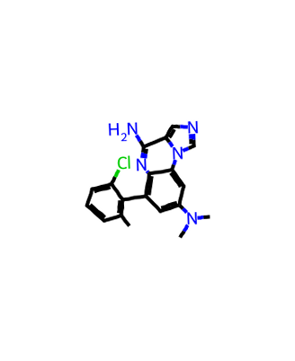 Cc1cccc(Cl)c1-c1cc(N(C)C)cc2c1nc(N)c1cncn12